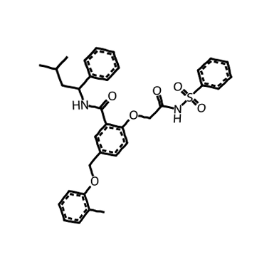 Cc1ccccc1OCc1ccc(OCC(=O)NS(=O)(=O)c2ccccc2)c(C(=O)NC(CC(C)C)c2ccccc2)c1